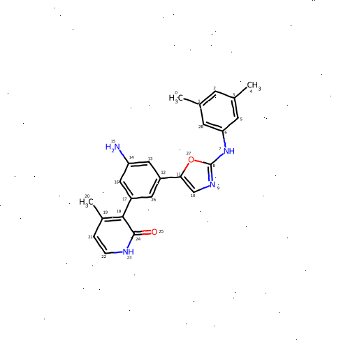 Cc1cc(C)cc(Nc2ncc(-c3cc(N)cc(-c4c(C)cc[nH]c4=O)c3)o2)c1